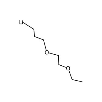 [Li][CH2]CCOCCOCC